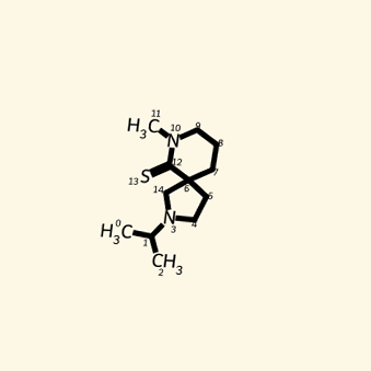 CC(C)N1CCC2(CCCN(C)C2=S)C1